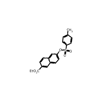 CCOC(=O)c1ccc2cc(OS(=O)(=O)c3ccc(C)cc3)ccc2c1